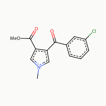 COC(=O)c1cn(C)cc1C(=O)c1cccc(Cl)c1